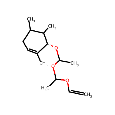 C=COC(C)OC(C)O[C@@H]1C(C)=CCC(C)C1C